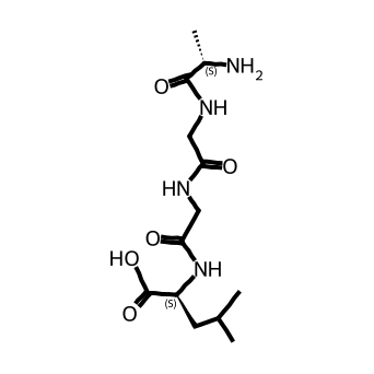 CC(C)C[C@H](NC(=O)CNC(=O)CNC(=O)[C@H](C)N)C(=O)O